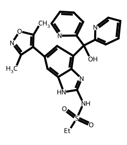 CCS(=O)(=O)Nc1nc2c(C(O)(c3ccccn3)c3ccccn3)cc(-c3c(C)noc3C)cc2[nH]1